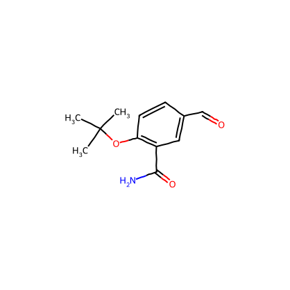 CC(C)(C)Oc1ccc(C=O)cc1C(N)=O